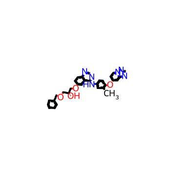 Cc1cc(Nc2ncnc3ccc(OC[C@H](O)COCc4ccccc4)cc23)ccc1Oc1ccn2ncnc2c1